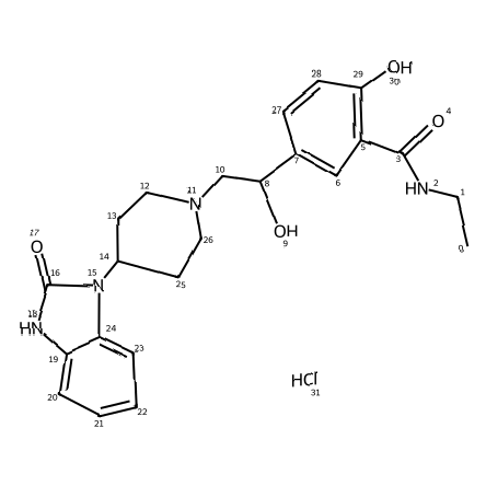 CCNC(=O)c1cc(C(O)CN2CCC(n3c(=O)[nH]c4ccccc43)CC2)ccc1O.Cl